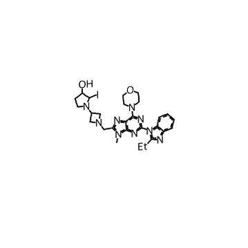 CCc1nc2ccccc2n1-c1nc(N2CCOCC2)c2nc(CN3CC(N4CCC(O)C4I)C3)n(C)c2n1